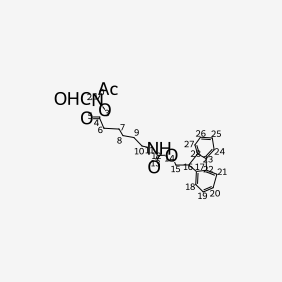 CC(=O)N(C=O)OC(=O)CCCCCNC(=O)OCC1c2ccccc2-c2ccccc21